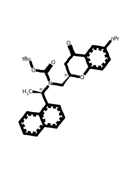 CCCc1ccc2c(c1)C(=O)C[C@H](CN(C(=O)OC(C)(C)C)[C@H](C)c1cccc3ccccc13)O2